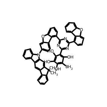 Bc1c(O)c(O)c(O)c(-c2nc(-c3cccc4oc5ccccc5c34)nc(-c3cccc4oc5cc(-n6c7ccccc7c7cc8c(cc76)C(C)(C)c6ccccc6-8)ccc5c34)n2)c1O